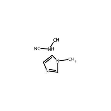 Cn1ccnc1.N#CNC#N